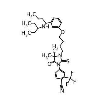 CCCC(NC(CC)CC)c1cccc(OCCCCN2C(=S)N(c3ccc(C#N)c(C(F)(F)F)c3)C(=O)C2(C)C)c1